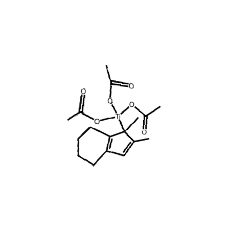 CC(=O)[O][Ti]([O]C(C)=O)([O]C(C)=O)[C]1(C)C(C)=CC2=C1CCCC2